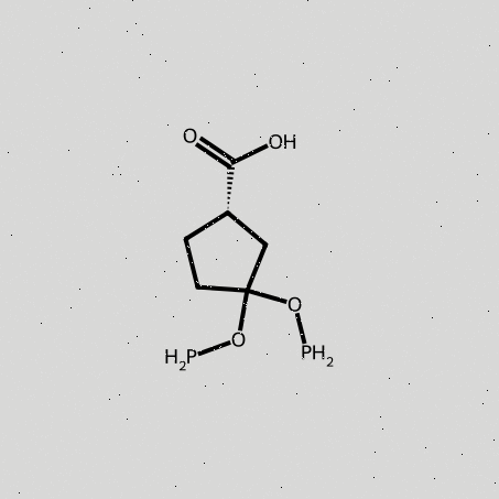 O=C(O)[C@H]1CCC(OP)(OP)C1